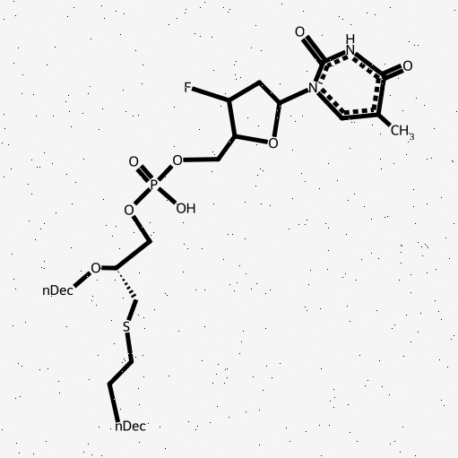 CCCCCCCCCCCCSC[C@@H](COP(=O)(O)OCC1OC(n2cc(C)c(=O)[nH]c2=O)CC1F)OCCCCCCCCCC